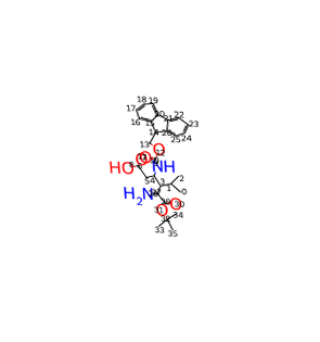 CC(C)C(C(CC(=O)O)NC(=O)OCC1c2ccccc2-c2ccccc21)C(N)C(=O)OC(C)(C)C